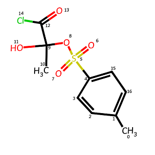 Cc1ccc(S(=O)(=O)OC(C)(O)C(=O)Cl)cc1